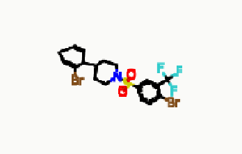 O=S(=O)(c1ccc(Br)c(C(F)(F)F)c1)N1CCC(C2C=CCC=C2Br)CC1